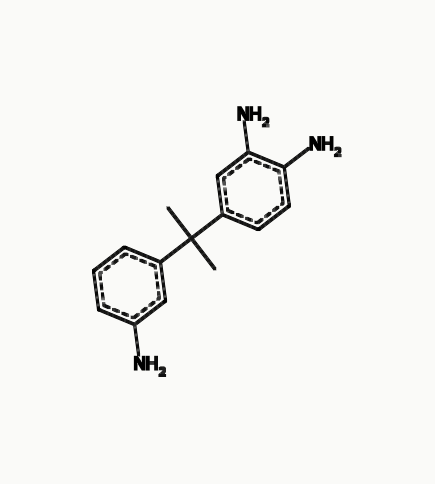 CC(C)(c1cccc(N)c1)c1ccc(N)c(N)c1